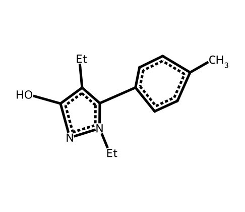 CCc1c(O)nn(CC)c1-c1ccc(C)cc1